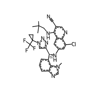 Cn1cnc2cccc([C@H](Nc3cc(Cl)c4ncc(C#N)c(NCC(C)(C)C)c4c3)c3cn(C4(C(F)(F)F)CC4)nn3)c21